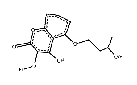 CCOc1c(O)c2c(OCCC(C)OC(C)=O)cccc2oc1=O